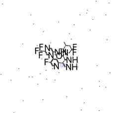 CN/C=C(\C(=N)C(=O)N1CC(F)(F)CC(C)C1CNc1cnc(C(F)(F)F)cn1)c1ccc(F)cn1